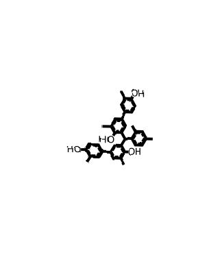 Cc1ccc(C(c2cc(-c3ccc(O)c(C)c3)cc(C)c2O)c2cc(-c3ccc(O)c(C)c3)cc(C)c2O)c(C)c1